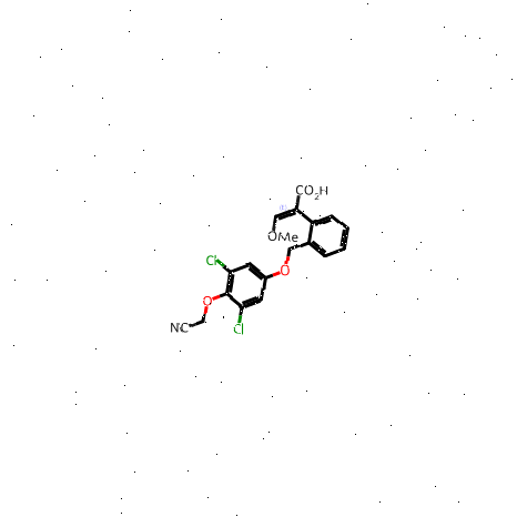 CO/C=C(/C(=O)O)c1ccccc1COc1cc(Cl)c(OCC#N)c(Cl)c1